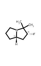 CC1(C)[C@H](F)C[C@@H]2CCCN21